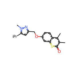 Cc1c(C)c2ccc(OCc3cc(C(C)C)n(C)n3)cc2sc1=O